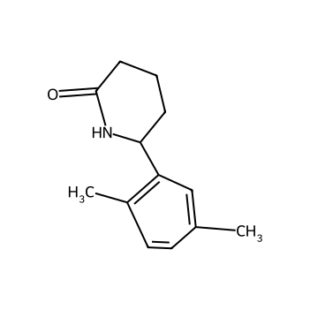 Cc1ccc(C)c(C2CCCC(=O)N2)c1